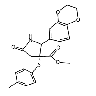 COC(=O)[C@@]1(Sc2ccc(C)cc2)CC(=O)NC1c1ccc2c(c1)OCCO2